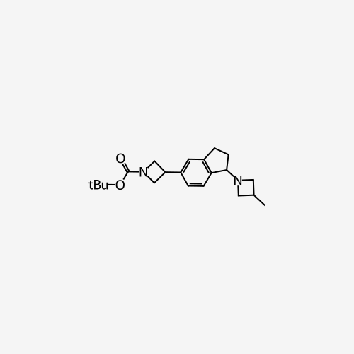 CC1CN(C2CCc3cc(C4CN(C(=O)OC(C)(C)C)C4)ccc32)C1